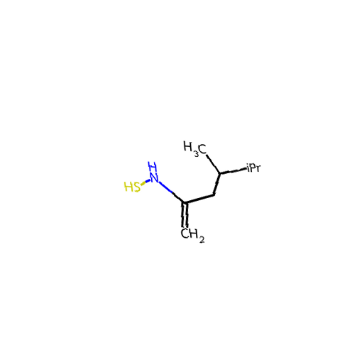 C=C(CC(C)C(C)C)NS